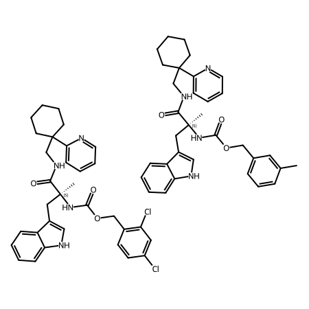 C[C@@](Cc1c[nH]c2ccccc12)(NC(=O)OCc1ccc(Cl)cc1Cl)C(=O)NCC1(c2ccccn2)CCCCC1.Cc1cccc(COC(=O)N[C@@](C)(Cc2c[nH]c3ccccc23)C(=O)NCC2(c3ccccn3)CCCCC2)c1